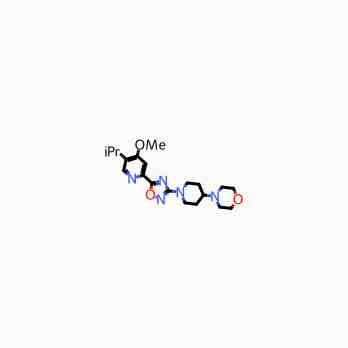 COc1cc(-c2nc(N3CCC(N4CCOCC4)CC3)no2)ncc1C(C)C